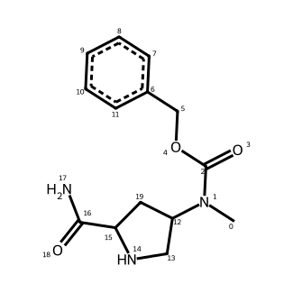 CN(C(=O)OCc1ccccc1)C1CNC(C(N)=O)C1